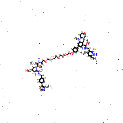 CCN(c1cc(-c2ccc(OCCOCCOCCOCCOCC(=O)N[C@H](C(=O)N3C[C@H](O)C[C@H]3C(=O)NCc3ccc(-c4scnc4C)cc3)C(C)(C)C)cc2)cc(C(=O)NCc2c(C)cc(C)[nH]c2=O)c1C)C1CCOCC1